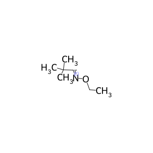 CCO/N=[C]/C(C)(C)C